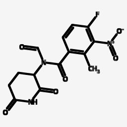 Cc1c(C(=O)N(C=O)C2CCC(=O)NC2=O)ccc(F)c1[N+](=O)[O-]